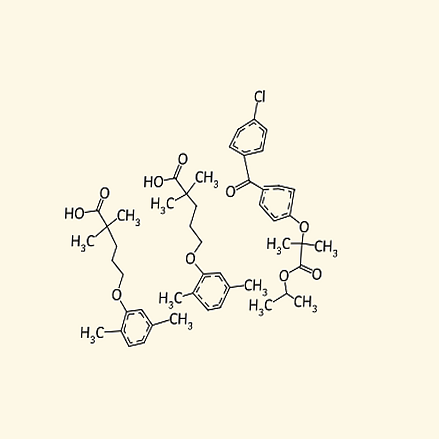 CC(C)OC(=O)C(C)(C)Oc1ccc(C(=O)c2ccc(Cl)cc2)cc1.Cc1ccc(C)c(OCCCC(C)(C)C(=O)O)c1.Cc1ccc(C)c(OCCCC(C)(C)C(=O)O)c1